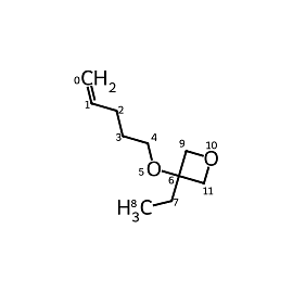 C=CCCCOC1(CC)COC1